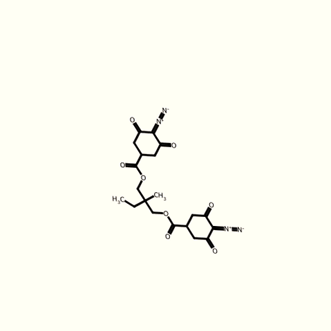 CCC(C)(COC(=O)C1CC(=O)C(=[N+]=[N-])C(=O)C1)COC(=O)C1CC(=O)C(=[N+]=[N-])C(=O)C1